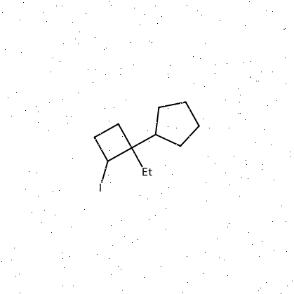 CCC1(C2CCCC2)CCC1I